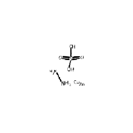 NN.O=S(=O)(O)O.[Cu].[Zn]